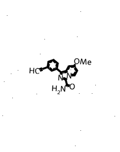 C#Cc1cccc(-c2nc(C(N)=O)n3ccc(OC)cc23)c1